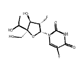 CC(O)[C@]1(CO)O[C@@H](n2cc(F)c(=O)[nH]c2=O)[C@@H](F)[C@@H]1O